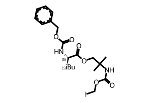 CC[C@H](C)[C@H](NC(=O)OCc1ccccc1)C(=O)OCC(C)(C)NC(=O)OCI